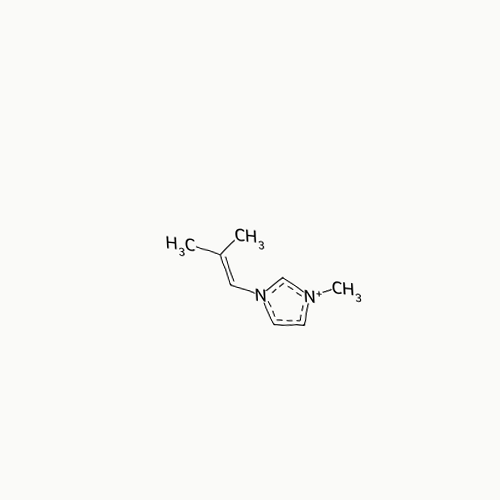 CC(C)=Cn1cc[n+](C)c1